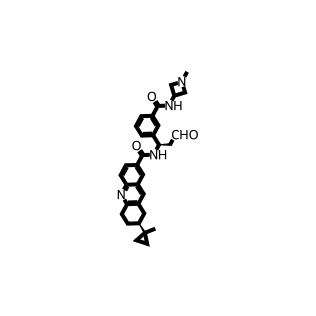 CN1CC(NC(=O)c2cccc([C@@H](CC=O)NC(=O)c3ccc4nc5c(cc4c3)C[C@@H](C3(C)CC3)CC5)c2)C1